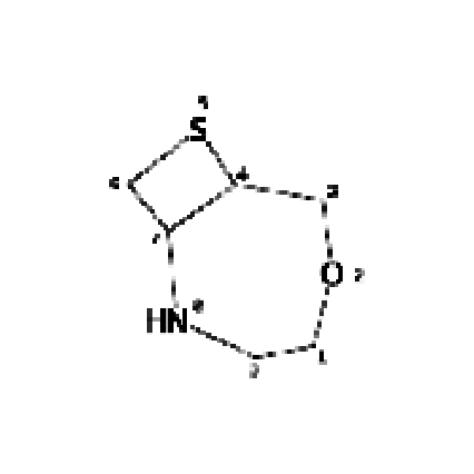 C1COCC2SCC2N1